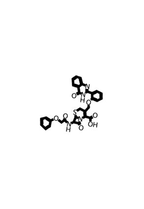 O=C(COc1ccccc1)NC1C(=O)N2C(C(=O)O)=C(COc3ccccc3-c3nc4ccccc4c(=O)[nH]3)CSC12